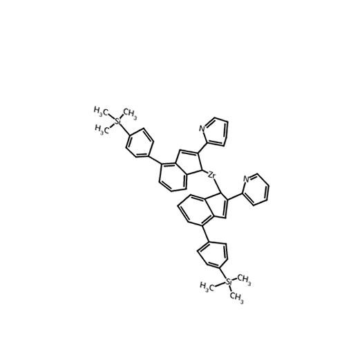 C[Si](C)(C)c1ccc(-c2cccc3c2C=C(c2ccccn2)[CH]3[Zr][CH]2C(c3ccccn3)=Cc3c(-c4ccc([Si](C)(C)C)cc4)cccc32)cc1